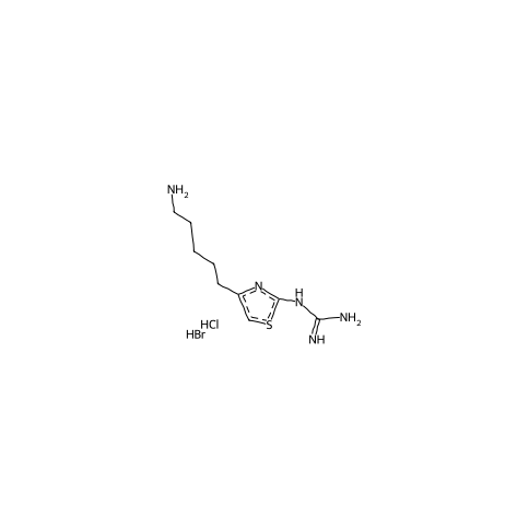 Br.Cl.N=C(N)Nc1nc(CCCCCN)cs1